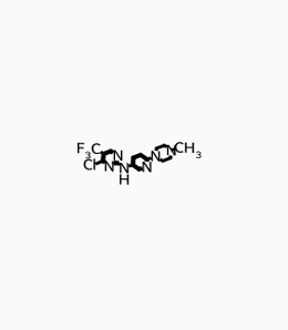 CN1CCN(c2ccc(Nc3ncc(C(F)(F)F)c(Cl)n3)cn2)CC1